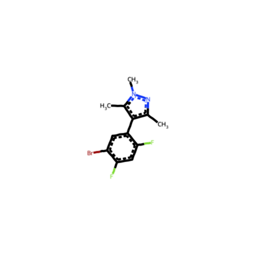 Cc1nn(C)c(C)c1-c1cc(Br)c(F)cc1F